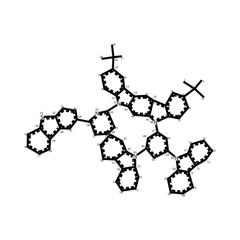 CC(C)(C)c1ccc2c(c1)c1cc3c4cc(C(C)(C)C)ccc4n(-c4cccc(-c5ccc6sc7ccccc7c6c5)n4)c3cc1n2-c1cc(-n2c3ccccc3c3ccccc32)cc(-n2c3ccccc3c3ccccc32)c1